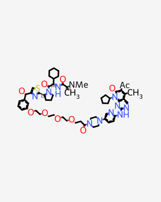 CN[C@@H](C)C(=O)N[C@H](C(=O)N1CCC[C@H]1c1nc(C(=O)c2cccc(OCCOCCOCCOCCC(=O)N3CCN(c4ccc(Nc5ncc6c(C)c(C(C)=O)c(=O)n(C7CCCC7)c6n5)nc4)CC3)c2)cs1)C1CCCCC1